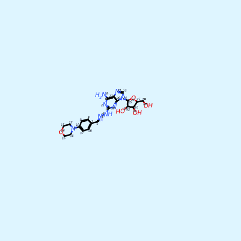 Nc1nc(N/N=C/c2ccc(N3CCOCC3)cc2)nc2c1ncn2C1OC(CO)C(O)C1O